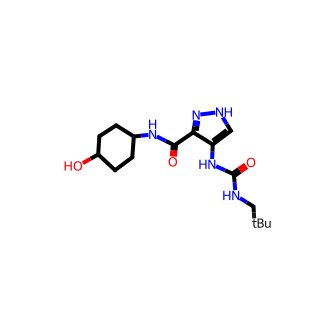 CC(C)(C)CNC(=O)Nc1c[nH]nc1C(=O)NC1CCC(O)CC1